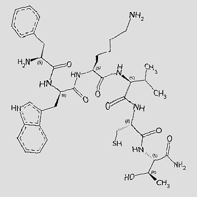 CC(C)[C@H](NC(=O)[C@H](CCCCN)NC(=O)[C@@H](Cc1c[nH]c2ccccc12)NC(=O)[C@@H](N)Cc1ccccc1)C(=O)N[C@@H](CS)C(=O)N[C@H](C(N)=O)[C@@H](C)O